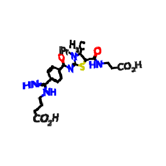 CC(C)N1C(=NC(=O)c2ccc(C(=N)NCCCC(=O)O)cc2)SC(C(=O)NCCC(=O)O)C1C